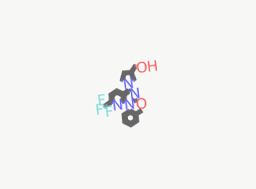 Cc1ccccc1-n1c(=O)nc(N2CCC(CO)C2)c2ccc(C(F)(F)F)nc21